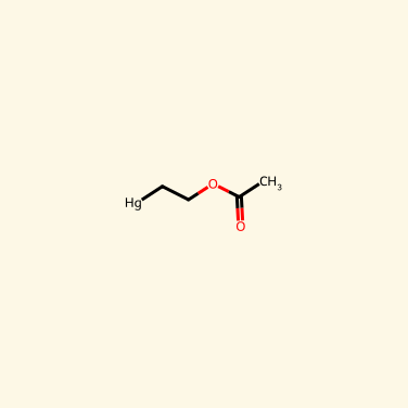 CC(=O)OC[CH2][Hg]